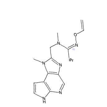 C=CO/N=C(/C(C)C)N(C)Cc1nc2cnc3[nH]ccc3c2n1C